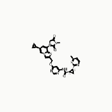 Cc1ccnc([C@@H]2C[C@H]2C(=O)Nc2cc(OCc3cn4cc(C5CC5)cc(N5CC(=O)N(C)C5=O)c4n3)ncn2)n1